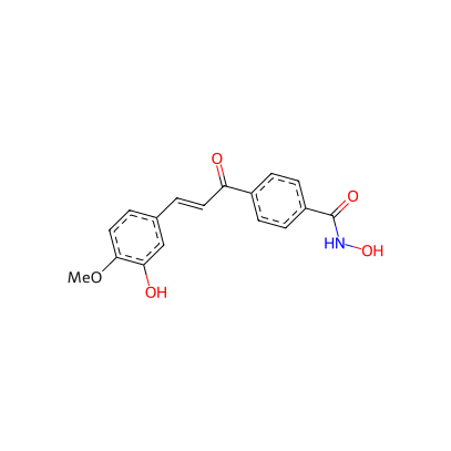 COc1ccc(C=CC(=O)c2ccc(C(=O)NO)cc2)cc1O